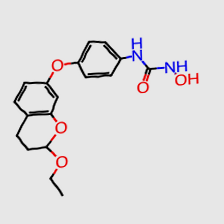 CCOC1CCc2ccc(Oc3ccc(NC(=O)NO)cc3)cc2O1